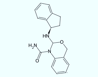 NC(=O)N1c2cc[c]cc2COC1N[C@@H]1CCc2ccccc21